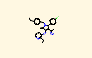 C=C1C(Nc2cccnc2CC)=C(C(C)=N)C(c2ccc(Cl)cc2)N1Cc1ccc(CC)cc1